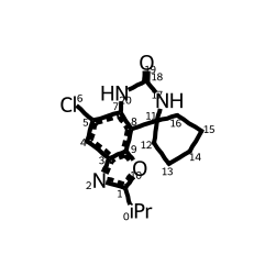 CC(C)c1nc2cc(Cl)c3c(c2o1)C1(CCCCC1)NC(=O)N3